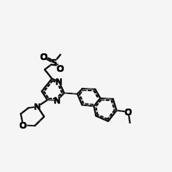 COc1ccc2cc(-c3nc(CS(C)(=O)=O)cc(N4CCOCC4)n3)ccc2c1